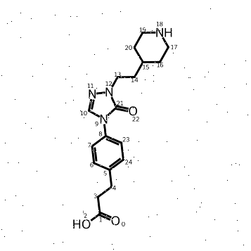 O=C(O)CCc1ccc(-n2cnn(CCC3CCNCC3)c2=O)cc1